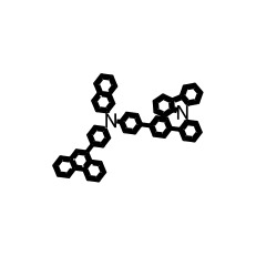 c1ccc(-n2c3ccccc3c3ccccc32)c(-c2ccc(-c3ccc(N(c4ccc(-c5cc6ccccc6c6ccccc56)cc4)c4ccc5ccccc5c4)cc3)cc2)c1